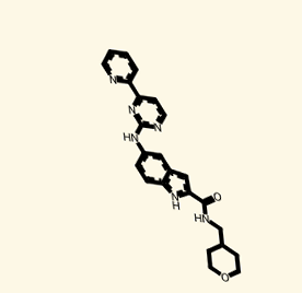 O=C(NCC1CCOCC1)c1cc2cc(Nc3nccc(-c4ccccn4)n3)ccc2[nH]1